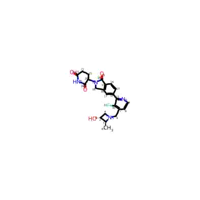 C[C@H]1[C@H](O)CN1Cc1ccnc(-c2ccc3c(c2)CN(C2CCC(=O)NC2=O)C3=O)c1F